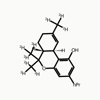 [2H]C([2H])([2H])C1=C[C@H]2c3c(O)cc(CCC)cc3OC(C([2H])([2H])[2H])(C([2H])([2H])[2H])[C@@H]2CC1